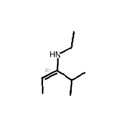 C/C=C(/NCC)C(C)C